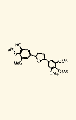 CCCOc1c(C#N)cc(C2CCC(c3cc(OC)c(OC)c(OC)c3)O2)cc1OC